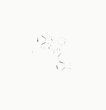 CSc1cccc2nc([C@@H]3CCCN3N3[C]=C(c4cccc(C(F)(F)F)c4)SC3C)[nH]c12